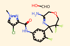 Cn1cc(Cl)c(C(=O)Nc2ccc(F)c(C3(C)N=C(N)COCC3(F)F)c2)n1.O=CO